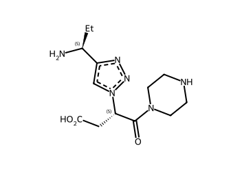 CC[C@H](N)c1cn([C@@H](CC(=O)O)C(=O)N2CCNCC2)nn1